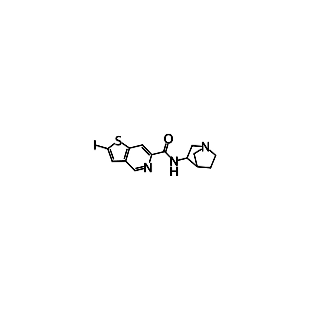 O=C(NC1CN2CCC1C2)c1cc2sc(I)cc2cn1